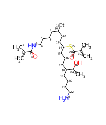 C=C(C)C(=O)NCCCCC(CC)CCC(CCCC(CCCCN)C(C)O)SC(=O)C(=C)C